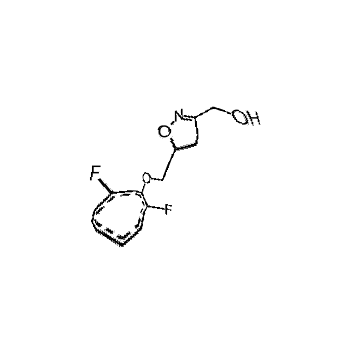 OCC1=NOC(COc2c(F)cccc2F)C1